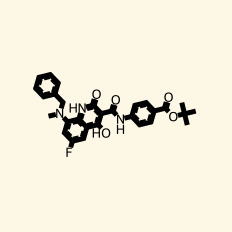 CN(Cc1ccccc1)c1cc(F)cc2c(O)c(C(=O)Nc3ccc(C(=O)OC(C)(C)C)cc3)c(=O)[nH]c12